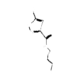 CCCCNC(=O)c1cc([O])on1